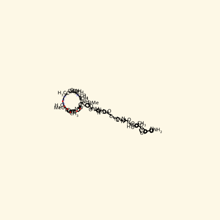 CO[C@H]1C[C@@H]2CC[C@@H](C)[C@@](O)(O2)C(=O)C(=O)N2CCCC[C@H]2C(=O)O[C@H]([C@H](N)C[C@@H]2CC[C@@H](OC(=O)NCc3cnc(N4CCN(C(=O)CCOCCN5CCN(c6ncc(C(=O)NCCS(=O)(=O)c7ccc(C(=O)N8CCOc9ccc(-c%10ccc(N)nc%10)cc9C8)c(C)c7)cn6)CC5)CC4)nc3)[C@H](OC)C2)C[C@@H](O)[C@H](C)/C=C(\C)[C@@H](O)[C@@H](O)C(=O)[C@H](C)C[C@H](C)/C=C/C=C/C=C/1C